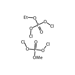 CCOP(=O)(OCl)OCl.COP(=O)(OCl)OCl